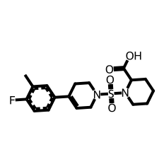 Cc1cc(C2=CCN(S(=O)(=O)N3CCCCC3C(=O)O)CC2)ccc1F